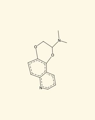 CN(C)C1COc2ccc3ncccc3c2O1